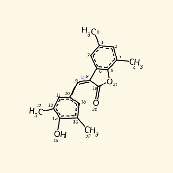 Cc1cc(C)c2c(c1)/C(=C/c1cc(C)c(O)c(C)c1)C(=O)O2